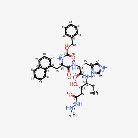 CCC(C)NNC(=O)C[C@H](O)[C@H](CC(C)C)NC(=O)[C@@H](Cc1c[nH]cn1)NC(=O)[C@@H](Cc1cccc2ccccc12)NC(=O)OCc1ccccc1